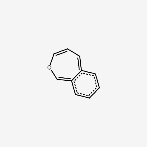 C1=COC=c2ccccc2=C1